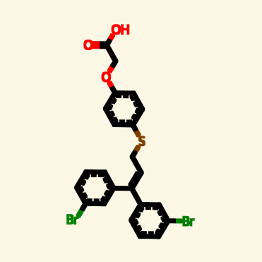 O=C(O)COc1ccc(SCC=C(c2cccc(Br)c2)c2cccc(Br)c2)cc1